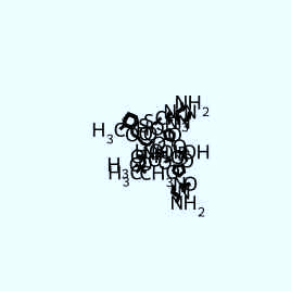 CCSSc1cccc(C)c1OC(=O)CC(NC(=O)OC(C)(C)C)C(=O)O[C@H]1[C@@H](O)[C@H](n2cnc3c(N)ncnc32)O[C@H]1COP(=O)(O)O[C@H]1C[C@H](n2ccc(N)nc2=O)O[C@@H]1COP(=O)(O)O